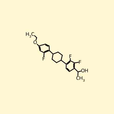 CCOc1ccc(C2CCC(c3ccc(C(C)O)c(F)c3F)CC2)c(F)c1